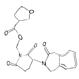 O=C(OCN1C(=O)CCC(N2Cc3ccccc3C2=O)C1=O)C1CCOC1